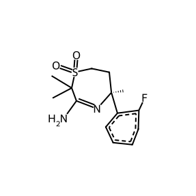 CC1(C)C(N)=N[C@](C)(c2ccccc2F)CCS1(=O)=O